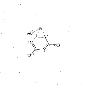 CC(C)O.Clc1cc(Cl)ncn1